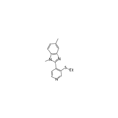 CCSc1cnccc1-c1nc2cc(C)ccc2n1C